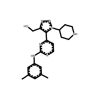 Cc1cc(C)cc(Nc2nccc(-c3c(CO)nnn3C3CCNCC3)n2)c1